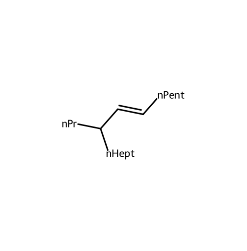 [CH2]CCCCC=CC(CCC)CCCCCC[CH2]